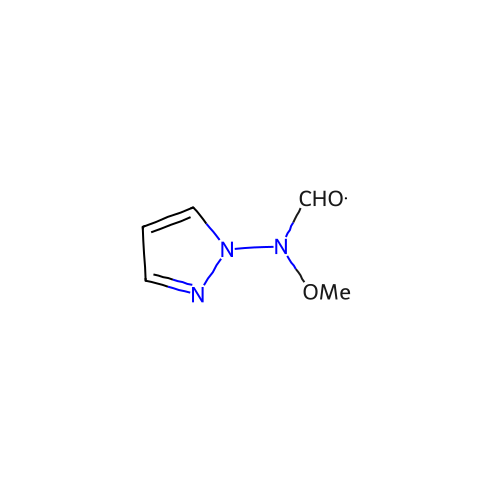 CON([C]=O)n1cccn1